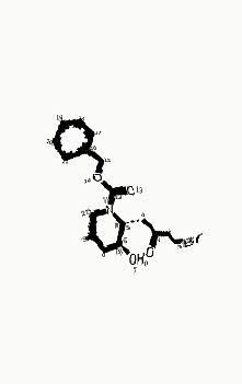 O=C(CBr)C[C@@H]1[C@@H](O)CCCN1C(=O)OCc1ccccc1